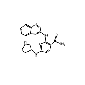 NC(=O)c1ncc(NC2CCNC2)nc1Nc1cnc2ccccc2c1